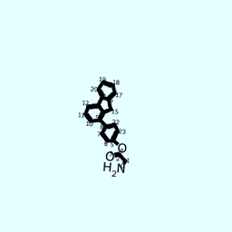 NCC(=O)Oc1ccc(-c2cccc3c2Cc2ccccc2-3)cc1